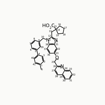 Cc1ccc(-c2cccc(Cn3c(CC4(C(=O)O)CCCC4)nc4cc(OCc5ccc6ccccc6n5)ccc43)c2)cc1